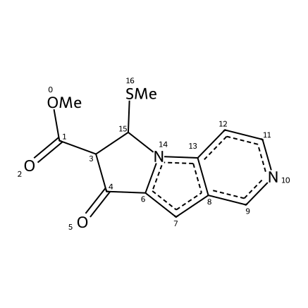 COC(=O)C1C(=O)c2cc3cnccc3n2C1SC